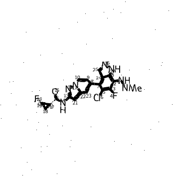 CNNc1c(F)c(Cl)c(-c2ccn3nc(NC(=O)[C@@H]4C[C@@H]4F)cc3c2)c2cn[nH]c12